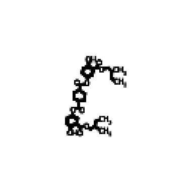 CCC(C)COC(=O)c1cc(OC(=O)C2CCC(C(=O)Oc3ccc(O)c(C(=O)OCC(C)CC)c3)CC2)ccc1O